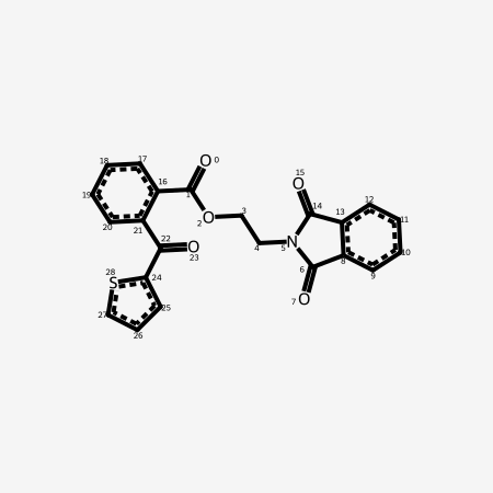 O=C(OCCN1C(=O)c2ccccc2C1=O)c1ccccc1C(=O)c1cccs1